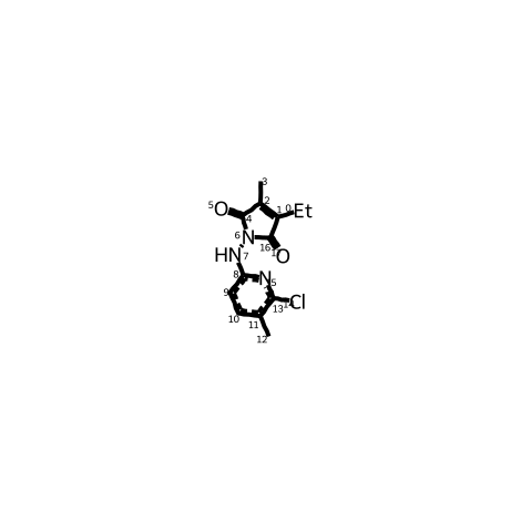 CCC1=C(C)C(=O)N(Nc2ccc(C)c(Cl)n2)C1=O